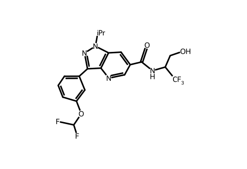 CC(C)n1nc(-c2cccc(OC(F)F)c2)c2ncc(C(=O)NC(CO)C(F)(F)F)cc21